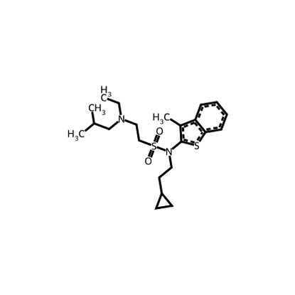 CCN(CCS(=O)(=O)N(CCC1CC1)c1sc2ccccc2c1C)CC(C)C